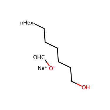 CCCCCCCCCCCCO.O=C[O-].[Na+]